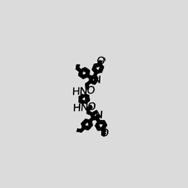 CCc1ccc(C2=C(CC(=O)Nc3ccc(NC(=O)CC4=C(c5ccc(CC)cc5)C(c5ccc(OC)cc5)=NC4)cc3)CN=C2c2ccc(OC)cc2)cc1